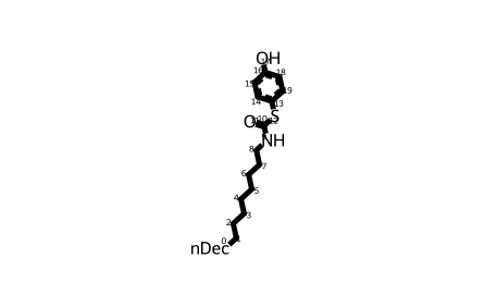 CCCCCCCCCCCCCCCCCCNC(=O)Sc1ccc(O)cc1